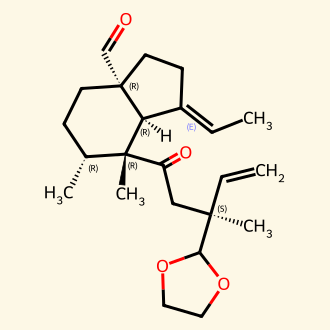 C=C[C@](C)(CC(=O)[C@]1(C)[C@H](C)CC[C@@]2(C=O)CC/C(=C\C)[C@H]21)C1OCCO1